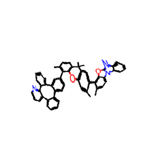 Cc1cc2c(cc1-c1c(C)ccc3c1oc1nc4ccccc4n13)C(C)(C)c1ccc(C)c(-c3ccc4c(c3)-c3ccccc3-c3ncccc3-c3ccccc3-4)c1O2